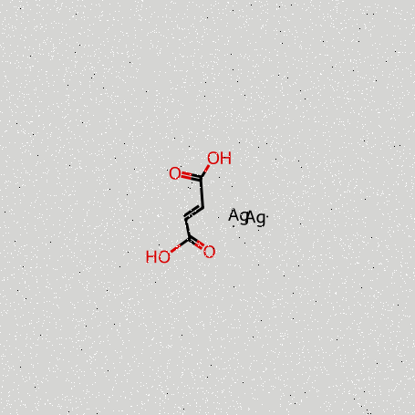 O=C(O)/C=C/C(=O)O.[Ag].[Ag]